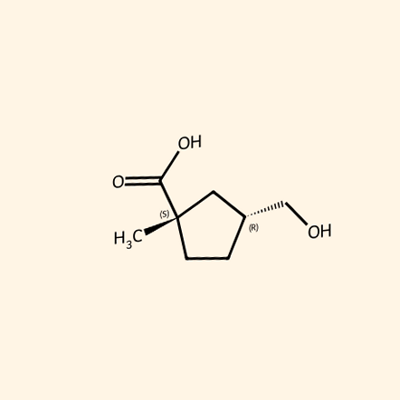 C[C@]1(C(=O)O)CC[C@@H](CO)C1